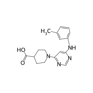 Cc1cccc(Nc2cc(N3CCC(C(=O)O)CC3)ncn2)c1